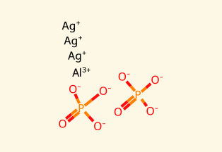 O=P([O-])([O-])[O-].O=P([O-])([O-])[O-].[Ag+].[Ag+].[Ag+].[Al+3]